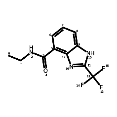 CCNC(=O)c1cccc2[nH]c(C(F)(F)F)nc12